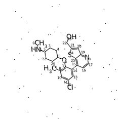 CN[C@H]1CC[C@@H](Oc2c(C)cc(Cl)cc2-c2ccnc3cc(CO)sc23)CC1